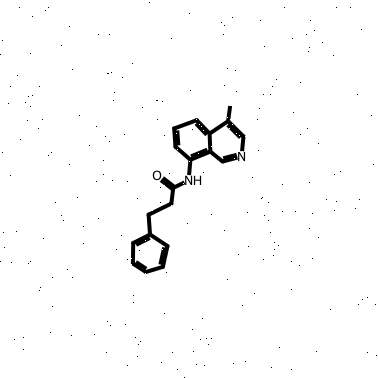 Cc1cncc2c(NC(=O)CCc3ccccc3)cccc12